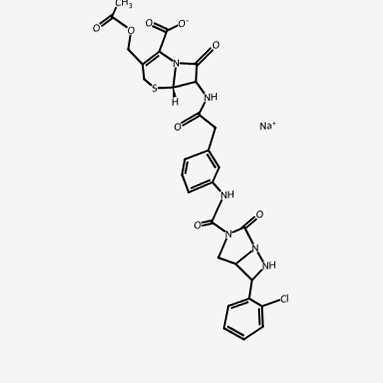 CC(=O)OCC1=C(C(=O)[O-])N2C(=O)C(NC(=O)Cc3cccc(NC(=O)N4CC5C(c6ccccc6Cl)NN5C4=O)c3)[C@@H]2SC1.[Na+]